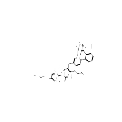 CCCCc1nc(C)n(-c2ncc(OCCSC)cn2)c(=O)c1Cc1ccc(-c2ccccc2-c2nnn[nH]2)nc1